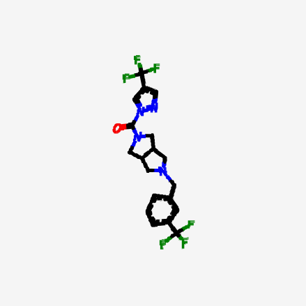 O=C(N1CC2CN(Cc3cccc(C(F)(F)F)c3)CC2C1)n1cc(C(F)(F)F)cn1